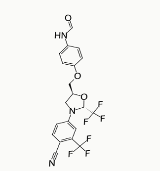 N#Cc1ccc(N2C[C@@H](COc3ccc(NC=O)cc3)O[C@@H]2C(F)(F)F)cc1C(F)(F)F